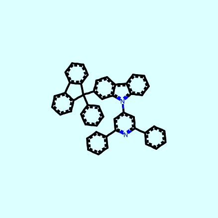 c1ccc(-c2cc(-n3c4ccccc4c4ccc(C5(c6ccccc6)c6ccccc6-c6ccccc65)cc43)cc(-c3ccccc3)n2)cc1